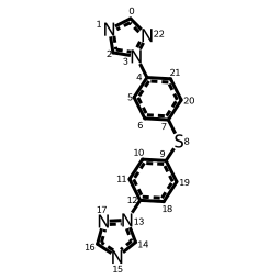 c1ncn(-c2ccc(Sc3ccc(-n4cncn4)cc3)cc2)n1